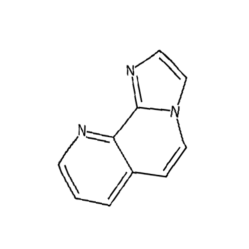 c1cnc2c(c1)ccn1ccnc21